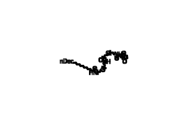 CCCCCCCCCCCCCCCCCCCCCC(=O)NC(C)(C)CCOC(C)(C)CCNC(=O)C(C)(C)CCOC(C)(C)CCNC(=O)CCN1C(=O)C=CC1=O